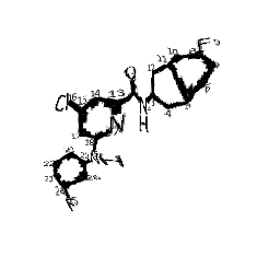 O=C(NC1Cc2ccc(F)cc2C1)c1cc(Cl)cc(Nc2cccc(F)c2)n1